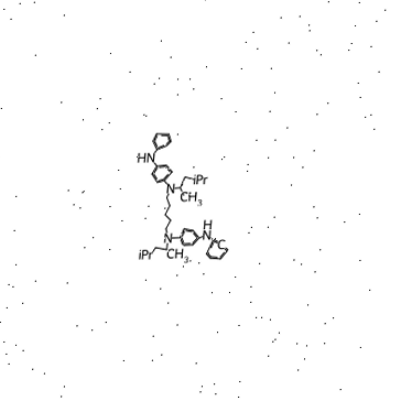 CC(C)CC(C)N(CCCCCN(c1ccc(Nc2ccccc2)cc1)C(C)CC(C)C)c1ccc(Nc2ccccc2)cc1